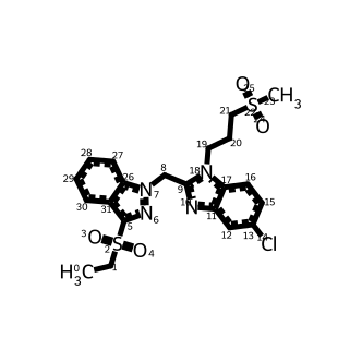 CCS(=O)(=O)c1nn(Cc2nc3cc(Cl)ccc3n2CCCS(C)(=O)=O)c2ccccc12